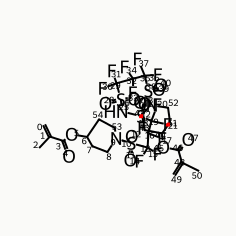 C=C(C)C(=O)OC1CCN(S(=O)(=O)C(F)(F)C(F)(F)C(F)(F)S(=O)(=O)NS(=O)(=O)C(F)(F)C(F)(F)C(F)(F)S(=O)(=O)N2CCC(OC(=O)C(=C)C)CC2)CC1